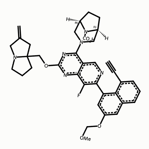 C#Cc1cccc2cc(OCOC)cc(-c3ncc4c(N5C[C@H]6CC[C@@H](C5)N6C(=O)O)nc(OCC56CCCN5CC(=C)C6)nc4c3F)c12